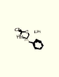 O=C1N[C@@H](Cc2ccccc2)CO1.[LiH]